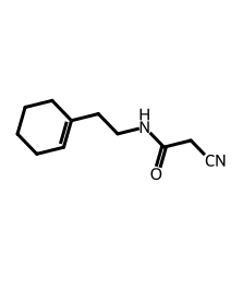 N#CCC(=O)NCCC1=CCCCC1